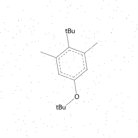 Cc1cc(OC(C)(C)C)cc(C)c1C(C)(C)C